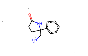 NCC1(c2ccccc2)CCC(=O)N1